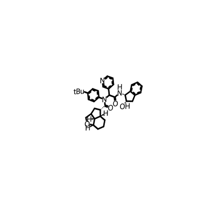 CC(C)(C)c1ccc(N(C(=O)[C@H]2CC3CO[C@H]4CCC[C@@H]2[C@@H]34)C(C(=O)N[C@@H]2c3ccccc3C[C@@H]2O)c2cccnc2)cc1